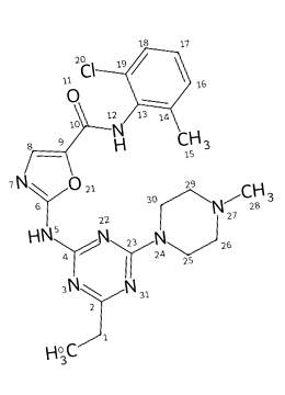 CCc1nc(Nc2ncc(C(=O)Nc3c(C)cccc3Cl)o2)nc(N2CCN(C)CC2)n1